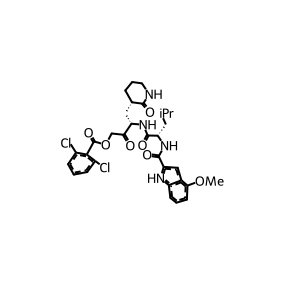 COc1cccc2[nH]c(C(=O)N[C@@H](CC(C)C)C(=O)N[C@@H](C[C@@H]3CCCNC3=O)C(=O)COC(=O)c3c(Cl)cccc3Cl)cc12